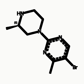 Cc1nc(N2CCN[C@H](C)C2)ncc1Br